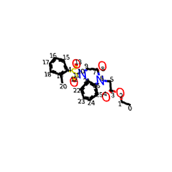 CCOC(=O)CN1C(=O)CN(S(=O)(=O)c2ccccc2C)c2ccccc21